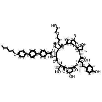 CCCCCOc1ccc(-c2ccc(-c3ccc(C(=O)N[C@H]4C[C@@H](N=O)C(NCCOCCO)NC(=O)C5[C@@H](O)[C@@H](C)CN5C(=O)C([C@@H](C)O)NC(=O)C([C@H](O)[C@@H](O)c5ccc(O)cc5)NC(=O)C5C[C@@H](O)CN5C(=O)C([C@@H](C)O)NC4=O)cc3)cc2)cc1